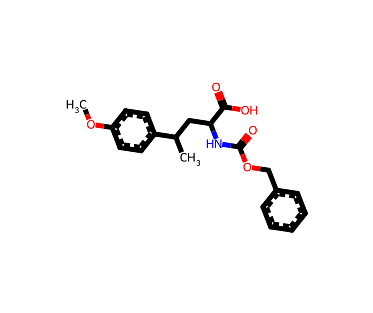 COc1ccc(C(C)CC(NC(=O)OCc2ccccc2)C(=O)O)cc1